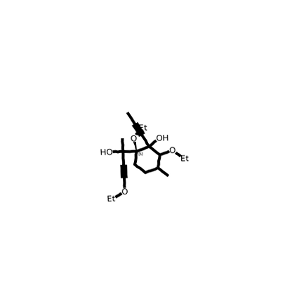 CC#CC1(O)C(OCC)C(C)CC[C@]1(OCC)C(C)(O)C#COCC